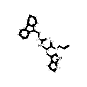 C=CCOC(=O)[C@H](Cc1c[nH]c2ncccc12)NC(=O)OCC1c2ccccc2-c2ccccc21